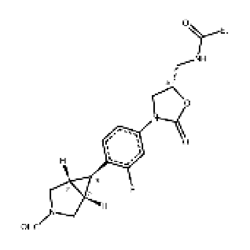 CCC(=O)NC[C@H]1CN(c2ccc([C@H]3[C@@H]4CN(C=O)C[C@@H]43)c(F)c2)C(=O)O1